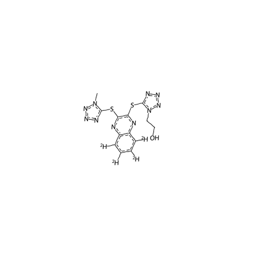 [2H]c1c([2H])c([2H])c2nc(Sc3nnnn3CCO)c(Sc3nnnn3C)nc2c1[2H]